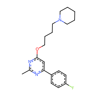 Cc1nc(OCCCCN2CCCCC2)cc(-c2ccc(F)cc2)n1